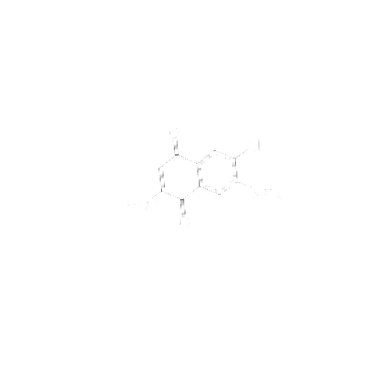 Cc1cc2c(cc1Cl)C(=O)C=C(O)C2=O